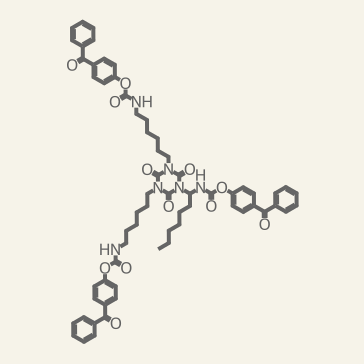 CCCCCCC(NC(=O)Oc1ccc(C(=O)c2ccccc2)cc1)n1c(=O)n(CCCCCCNC(=O)Oc2ccc(C(=O)c3ccccc3)cc2)c(=O)n(CCCCCCNC(=O)Oc2ccc(C(=O)c3ccccc3)cc2)c1=O